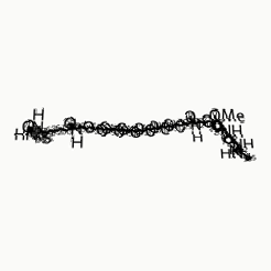 COc1cc(Nc2cccc(Nc3cc(C4CC4)[nH]n3)c2)ccc1OCCNC(=O)CCOCCOOCCOOCCOOCCOOCCOOCCOCCNC(=O)CCCCC1SCC2NC(=O)NC21